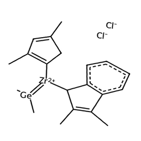 CC1=CC(C)=[C]([Zr+2]([CH]2C(C)=C(C)c3ccccc32)=[Ge]([CH3])[CH3])C1.[Cl-].[Cl-]